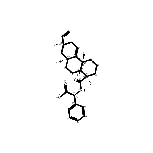 C=C[C@@]1(C)CC=C2[C@@H](CC[C@@H]3[C@](C)(C(=O)N[C@H](C(=O)O)c4ccccc4)CCC[C@@]23C)C1